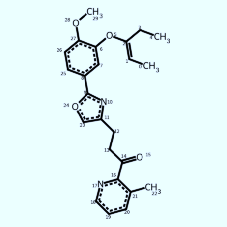 CC=C(CC)Oc1cc(-c2nc(CCC(=O)c3ncccc3C)co2)ccc1OC